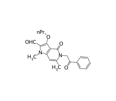 CCCOc1c(C=O)n(C)c2cc(C)n(CC(=O)c3ccccc3)c(=O)c12